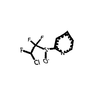 [O-][S+](c1ccccn1)C(F)(F)C(F)Cl